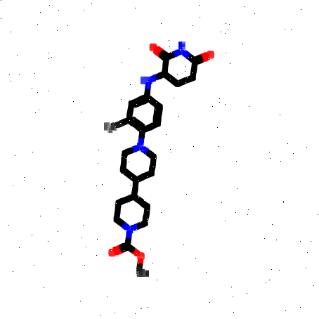 CC(C)(C)OC(=O)N1CCC(C2CCN(c3ccc(NC4CCC(=O)NC4=O)cc3C(F)(F)F)CC2)CC1